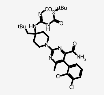 Cc1nc(N2CCC(CC(C)(C)C)(NC(=NC(=O)O)NC(=O)OC(C)(C)C)CC2)nc(C(N)=O)c1-c1cccc(Cl)c1Cl